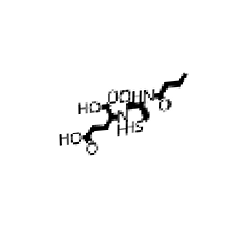 CCCC(=O)NC(CS)C(=O)NC(CCC(=O)O)C(=O)O